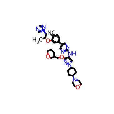 CC(Cn1cncn1)Oc1cc(-c2cnc(Nc3cn(C4CCC(N5CCOCC5)CC4)nc3OCC3CCCOC3)nc2)ccc1C#N